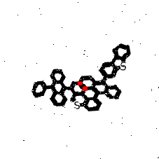 C1#Sc2cccc(-c3c4ccccc4c(-c4ccc5c(c4)sc4ccccc45)c4ccccc34)c2-c2cccc(-c3c4ccccc4c(-c4ccccc4)c4ccccc34)c21